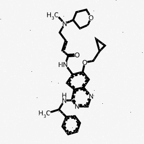 CC(Nc1ncnc2cc(OCC3CC3)c(NC(=O)C=CCN(C)C3CCOCC3)cc12)c1ccccc1